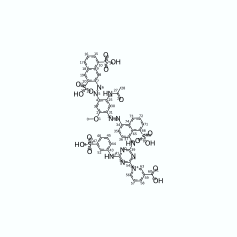 COc1cc(N=Nc2cc3c(S(=O)(=O)O)cccc3cc2S(=O)(=O)O)c(NC(C)=O)cc1N=Nc1ccc(Nc2nc(Nc3cccc(S(=O)(=O)O)c3)nc(-[n+]3cccc(C(=O)O)c3)n2)c2c(S(=O)(=O)O)cccc12